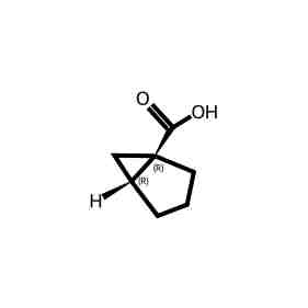 O=C(O)[C@@]12CCC[C@@H]1C2